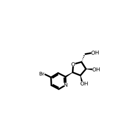 OC[C@H]1O[C@H](c2cc(Br)ccn2)[C@H](O)[C@@H]1O